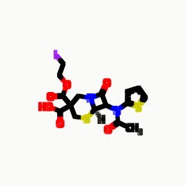 CC(=O)N(c1cccs1)C1C(=O)N2CC(C(=O)O)(C(=O)OCCI)CS[C@H]12